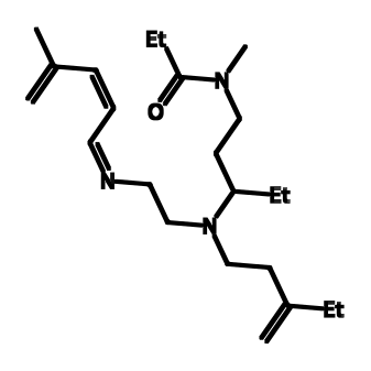 C=C(C)/C=C\C=N/CCN(CCC(=C)CC)C(CC)CCN(C)C(=O)CC